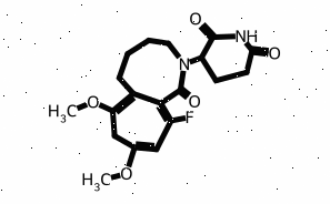 COC1=CC(F)=C2C(=O)N(C3CCC(=O)NC3=O)CCCCC2=C(OC)C1